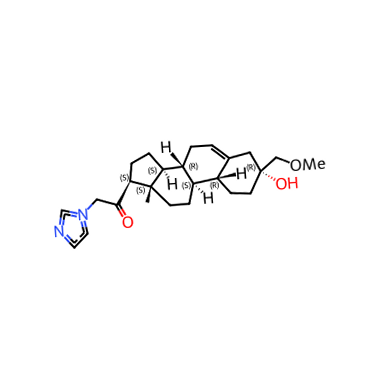 COC[C@@]1(O)CC[C@H]2C(=CC[C@@H]3[C@@H]2CC[C@]2(C)[C@@H](C(=O)Cn4ccnc4)CC[C@@H]32)C1